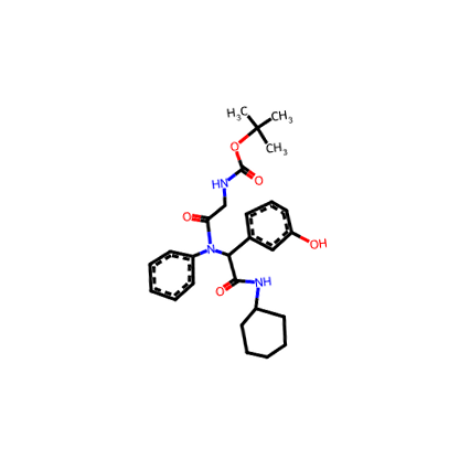 CC(C)(C)OC(=O)NCC(=O)N(c1ccccc1)C(C(=O)NC1CCCCC1)c1cccc(O)c1